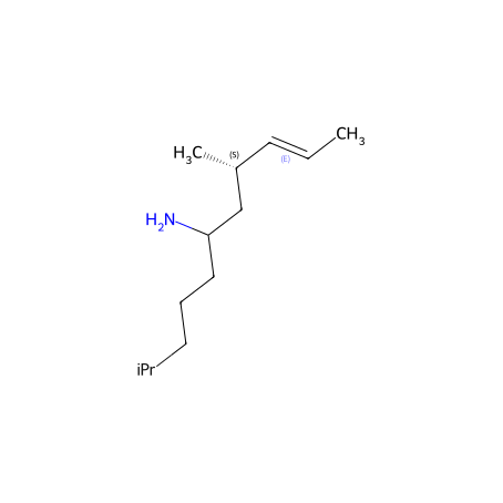 C/C=C/[C@@H](C)CC(N)CCCC(C)C